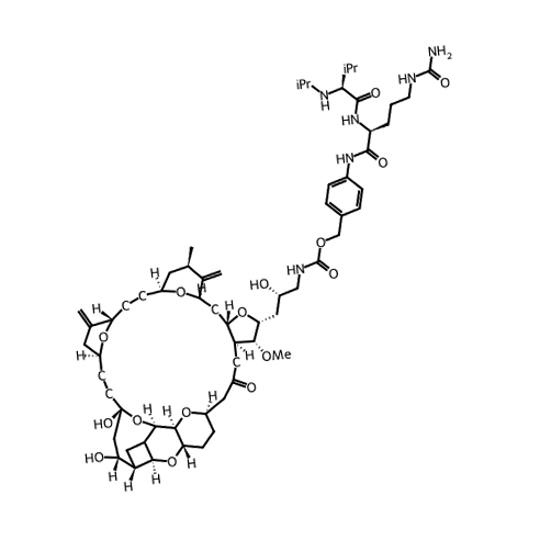 C=C1C[C@@H]2CC[C@@]3(O)C[C@@H](O)[C@@H]4CC5[C@H]4O[C@H]4CC[C@H](CC(=O)C[C@@H]6[C@@H](OC)[C@@H](C[C@H](O)CNC(=O)OCc7ccc(NC(=O)[C@H](CCCNC(N)=O)NC(=O)[C@@H](NC(C)C)C(C)C)cc7)O[C@H]6C[C@H]6O[C@@H](CC[C@@H]1O2)C[C@@H](C)C6=C)O[C@@H]4[C@@H]5O3